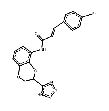 CCc1ccc(C=CC(=O)Nc2cccc3c2OC(c2nnn[nH]2)CO3)cc1